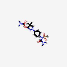 CN(C)C(=O)OC1=NN(c2ccc(N(C(=O)N(C)C)S(C)(=O)=O)cc2)CC1(C)C